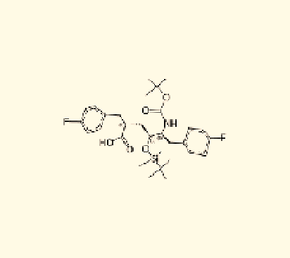 CC(C)(C)OC(=O)N[C@@H](Cc1ccc(F)cc1)[C@H](C[C@@H](Cc1ccc(F)cc1)C(=O)O)O[Si](C)(C)C(C)(C)C